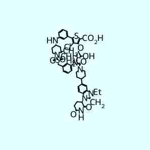 C=C(O)COc1c(C(=O)O)sc(-c2cccc(N[C@H]3CCN(S(=O)(=O)Cc4cccc(NC(=O)N5CCC(c6ccc7c(c6)N(CC)C(=C)N7C6CCC(=O)NC6=O)CC5)c4)C(C)(C)C3)c2)c1Cl